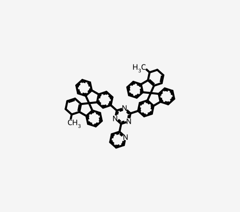 CC1CC=CC2=C1c1ccccc1C21c2ccccc2-c2ccc(-c3nc(-c4ccc5c(c4)C4(C6=C(c7ccccc74)C(C)CC=C6)c4ccccc4-5)nc(-c4ccccn4)n3)cc21